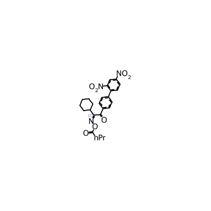 CCCC(=O)O/N=C(\C(=O)c1ccc(-c2ccc([N+](=O)[O-])cc2[N+](=O)[O-])cc1)C1CCCCC1